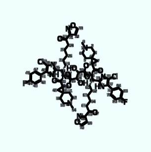 CN1CCC2(CC1)C[C@@]2(OC(=O)C(O)C(O)C(=O)O[C@@]1(C(=O)N[C@@H](CCCCCC(=O)c2ccon2)c2nc(Cl)c(-c3ccc(F)cc3)[nH]2)CC12CCN(C)CC2)C(=O)N[C@@H](CCCCCC(=O)c1ccon1)c1nc(Cl)c(-c2ccc(F)cc2)[nH]1